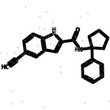 C#Cc1ccc2[nH]c(C(=O)NC3(c4ccccc4)CCCC3)cc2c1